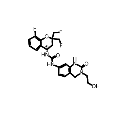 O=C(Nc1ccc2c(c1)NC(=O)N(CCO)C2)N[C@@H]1CC(CF)(CF)Oc2c(F)cccc21